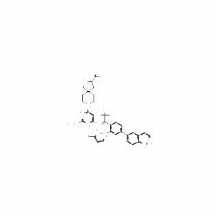 Cc1ccn(-c2cc(-c3ccc4nnccc4c3)ccc2[C@@H](Oc2cc(N3CCC4(CC3)CNC(C(=O)O)C4)nc(N)n2)C(F)(F)F)n1